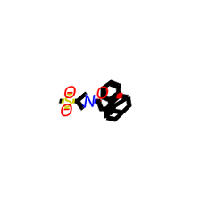 CC1C2CC3CC1CC(C2)C3(CC(=O)N1CC(S(C)(=O)=O)C1)c1ccccc1